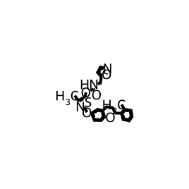 Cc1ccccc1C1CCc2cc(Oc3nc(C)c(OC(=O)NCc4ccno4)s3)ccc2O1